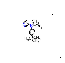 CC(C)N(c1ccc(C(C)(C)C)cc1)c1cccnc1